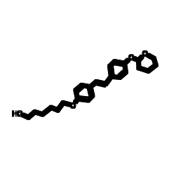 OCCCCCCOc1ccc(/C=C/c2ccc(OC3CCCCO3)cc2)cc1